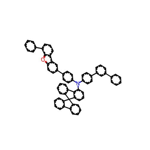 c1ccc(-c2cccc(-c3ccc(N(c4ccc(-c5ccc6oc7c(-c8ccccc8)cccc7c6c5)cc4)c4cccc5c4-c4ccccc4C54c5ccccc5-c5ccccc54)cc3)c2)cc1